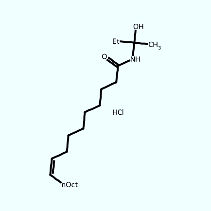 CCCCCCCC/C=C\CCCCCCCC(=O)NC(C)(O)CC.Cl